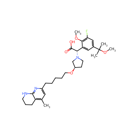 COc1c(F)cc(C(C)(C)OC)cc1[C@@H](C(=O)O)N1CC[C@@H](OCCCCCc2cc(C)c3c(n2)NCCC3)C1